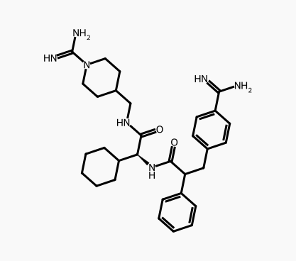 N=C(N)c1ccc(CC(C(=O)N[C@H](C(=O)NCC2CCN(C(=N)N)CC2)C2CCCCC2)c2ccccc2)cc1